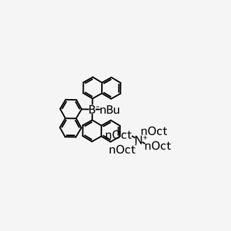 CCCCCCCC[N+](CCCCCCCC)(CCCCCCCC)CCCCCCCC.CCCC[B-](c1cccc2ccccc12)(c1cccc2ccccc12)c1cccc2ccccc12